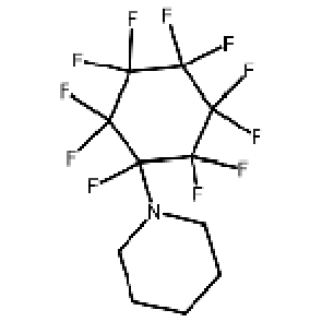 FC1(F)C(F)(F)C(F)(F)C(F)(N2CCCCC2)C(F)(F)C1(F)F